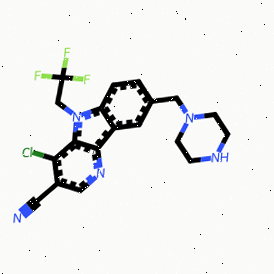 N#Cc1cnc2c3cc(CN4CCNCC4)ccc3n(CC(F)(F)F)c2c1Cl